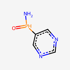 N[PH](=O)c1cncnc1